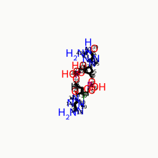 C[C@@]12COP(=O)(O)O[C@H]3[C@@H](F)[C@H](n4cnc5c(N)ncnc54)O[C@@H]3COP(=O)(O)O[C@H]1[C@@H](O)[C@H](n1cnc3c(=O)[nH]c(N)nc31)C2